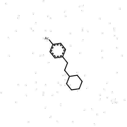 CC(=O)c1ccc(CCC2CCCCC2)cc1